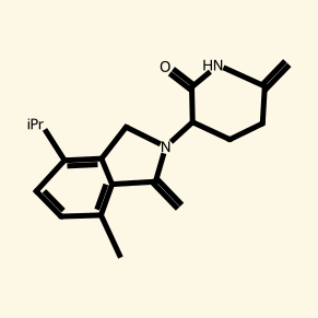 C=C1CCC(N2Cc3c(C(C)C)ccc(C)c3C2=C)C(=O)N1